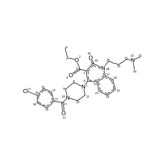 CCOC(=O)c1c(N2CCN(C(=O)c3ccc(Cl)cc3)CC2)c2ccccc2n(CCCN(C)C)c1=O